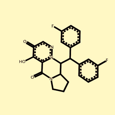 O=C1c2c(O)c(=O)cnn2C(C(c2cccc(F)c2)c2cccc(F)c2)C2CCCN12